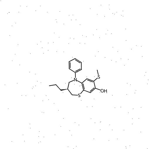 CCC[C@@H]1CSc2cc(O)c(SC)cc2N(c2ccccc2)C1